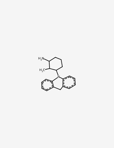 CC1C(N)CCCC1N1c2ccccc2Cc2ccccc21